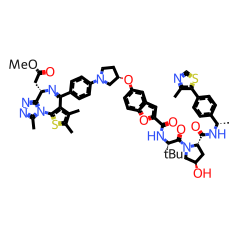 COC(=O)C[C@@H]1N=C(c2ccc(N3CC[C@H](Oc4ccc5oc(C(=O)N[C@H](C(=O)N6C[C@H](O)C[C@H]6C(=O)N[C@@H](C)c6ccc(-c7scnc7C)cc6)C(C)(C)C)cc5c4)C3)cc2)c2c(sc(C)c2C)-n2c(C)nnc21